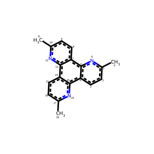 Cc1ccc2c(n1)c1ccc(C)nc1c1ccc(C)nc21